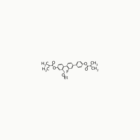 C=C(C)C(=O)Oc1ccc(-c2ccc(-c3ccc(OC(=O)C(=C)C)cc3COCC)c(F)c2)cc1